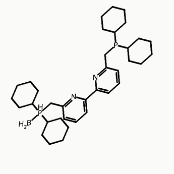 B[PH](Cc1cccc(-c2cccc(CP(C3CCCCC3)C3CCCCC3)n2)n1)(C1CCCCC1)C1CCCCC1